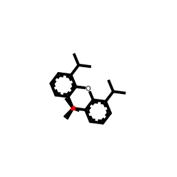 CC(C)c1cccc(C(C)C)c1Oc1c(C(C)C)cccc1C(C)C